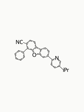 CC(C)c1ccc(-c2ccc3c(c2)oc2c(-c4ccccc4)c(C#N)ccc23)nc1